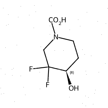 O=C(O)N1CC[C@@H](O)C(F)(F)C1